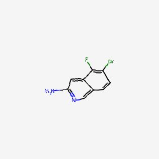 Nc1cc2c(F)c(Br)ccc2cn1